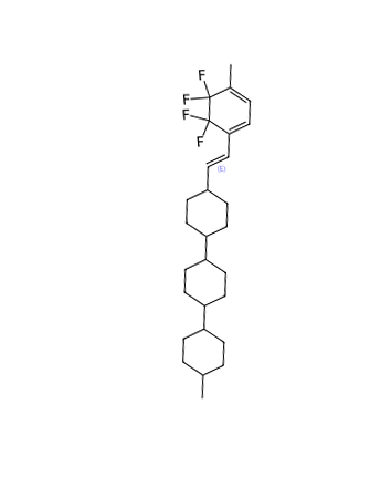 CC1=CC=C(/C=C/C2CCC(C3CCC(C4CCC(C)CC4)CC3)CC2)C(F)(F)C1(F)F